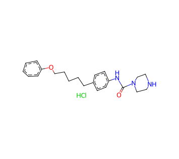 Cl.O=C(Nc1ccc(CCCCCOc2ccccc2)cc1)N1CCNCC1